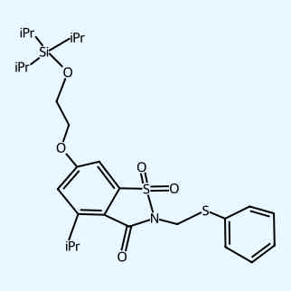 CC(C)c1cc(OCCO[Si](C(C)C)(C(C)C)C(C)C)cc2c1C(=O)N(CSc1ccccc1)S2(=O)=O